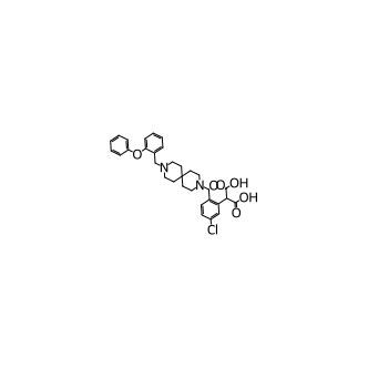 O=C(O)C(C(=O)O)c1cc(Cl)ccc1C(=O)N1CCC2(CCN(Cc3ccccc3Oc3ccccc3)CC2)CC1